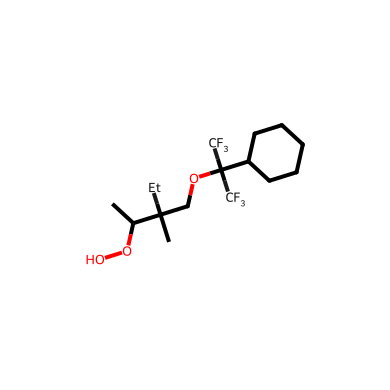 CCC(C)(COC(C1CCCCC1)(C(F)(F)F)C(F)(F)F)C(C)OO